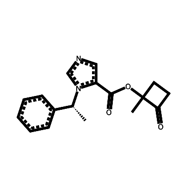 C[C@H](c1ccccc1)n1cncc1C(=O)OC1(C)CCC1=O